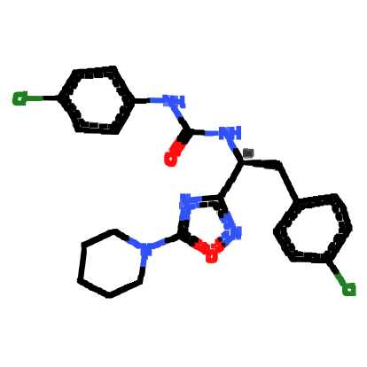 O=C(Nc1ccc(Cl)cc1)N[C@@H](Cc1ccc(Cl)cc1)c1noc(N2CCCCC2)n1